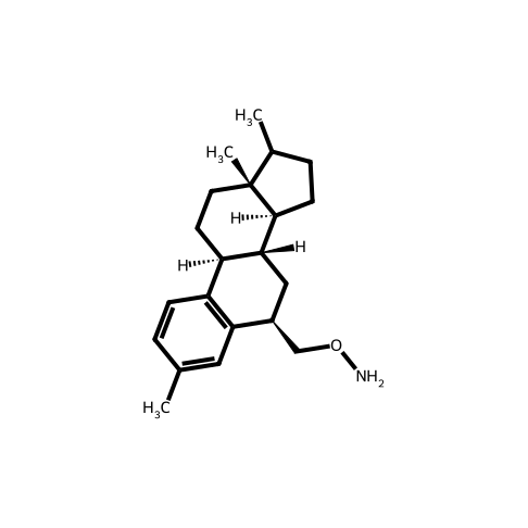 Cc1ccc2c(c1)[C@H](CON)C[C@@H]1[C@@H]2CC[C@]2(C)C(C)CC[C@@H]12